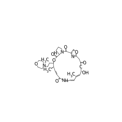 CC1=C\[C@@H](O)CC(=O)Cc2nc(co2)C(=O)N2CCC[C@@H]2C(=O)O[C@H]([C@@H](C)CN2CCOCC2)[C@H](C)/C=C/C(=O)NC\C=C\1